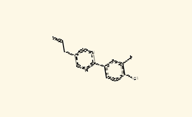 C=CCc1cnc(-c2ccc(O)c(F)c2)nc1